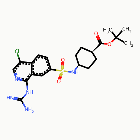 CC(C)(C)OC(=O)[C@H]1CC[C@@H](NS(=O)(=O)c2ccc3c(Cl)cnc(NC(=N)N)c3c2)CC1